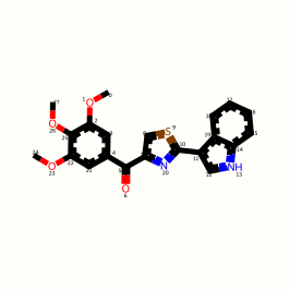 COc1cc(C(=O)c2csc(-c3c[nH]c4ccccc34)n2)cc(OC)c1OC